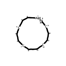 C1CCCCCC[AsH][AsH]CCCCC1